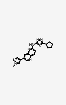 Cn1cc(-c2cnc3ccc(Nc4nnc(C5CCCC5)s4)nc3c2)cn1